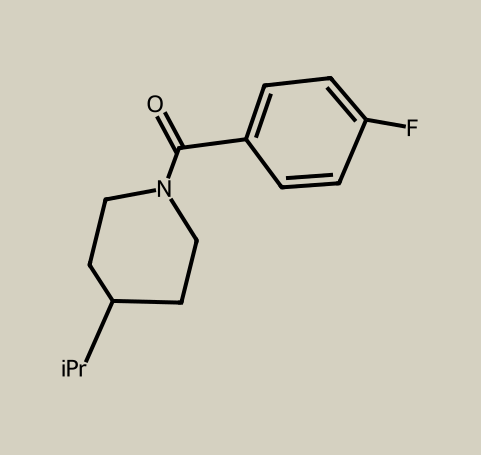 CC(C)C1CCN(C(=O)c2ccc(F)cc2)CC1